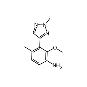 COc1c(N)ccc(C)c1-c1cnn(C)n1